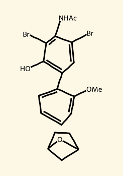 C1CC2CC1O2.COc1ccccc1-c1cc(Br)c(NC(C)=O)c(Br)c1O